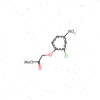 COC(=O)COc1ccc([N+](=O)[O-])cc1Cl